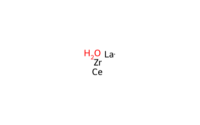 O.[Ce].[La].[Zr]